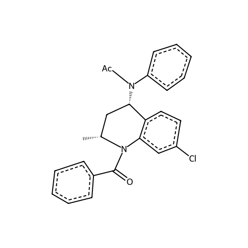 CC(=O)N(c1ccccc1)[C@H]1C[C@@H](C)N(C(=O)c2ccccc2)c2cc(Cl)ccc21